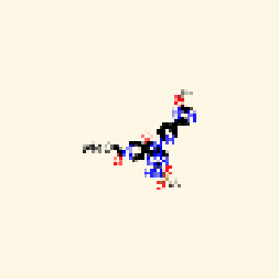 CCOc1cncc(-c2ccc(NC(=O)C3(c4ccnc(NS(=O)(=O)CC)n4)CCN(C(=O)COC)CC3)nc2)n1